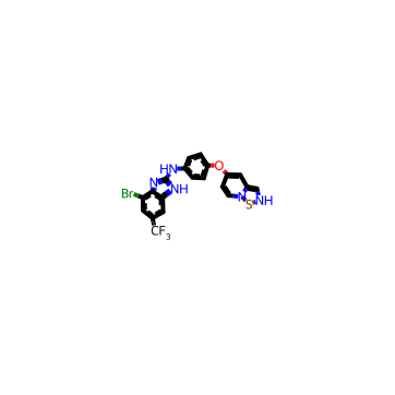 FC(F)(F)c1cc(Br)c2nc(Nc3ccc(OC4=CC5=CNSN5C=C4)cc3)[nH]c2c1